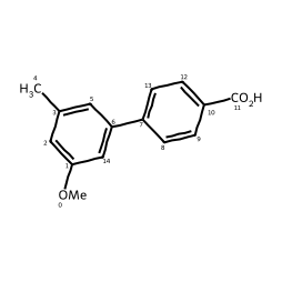 COc1cc(C)cc(-c2ccc(C(=O)O)cc2)c1